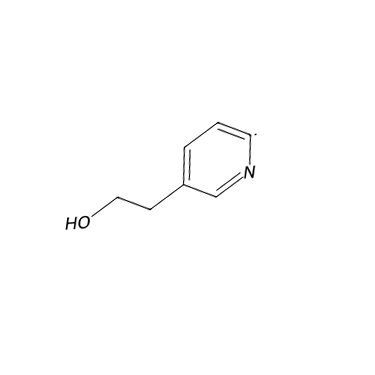 OCCc1cc[c]nc1